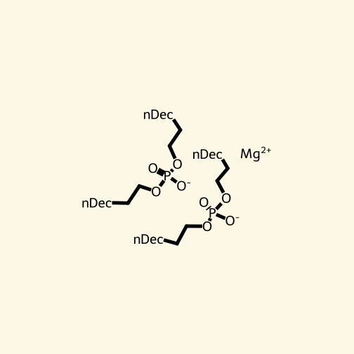 CCCCCCCCCCCCOP(=O)([O-])OCCCCCCCCCCCC.CCCCCCCCCCCCOP(=O)([O-])OCCCCCCCCCCCC.[Mg+2]